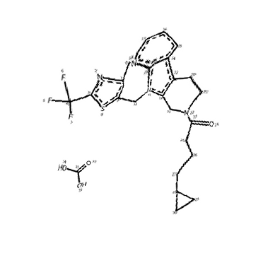 Cc1nc(C(F)(F)F)sc1Cn1c2c(c3cccnc31)CCN(C(=O)CCCC1CC1)C2.O=C(O)O